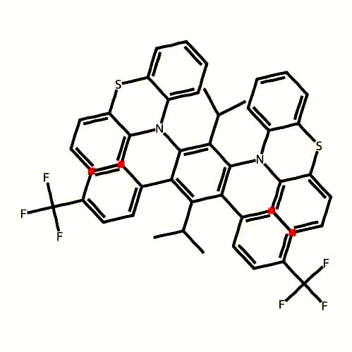 CC(C)c1c(-c2ccc(C(F)(F)F)cc2)c(N2c3ccccc3Sc3ccccc32)c(C(C)C)c(N2c3ccccc3Sc3ccccc32)c1-c1ccc(C(F)(F)F)cc1